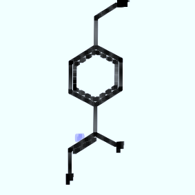 F/C=C(\F)c1ccc(CBr)cc1